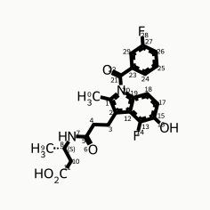 Cc1c(CCC(=O)N[C@@H](C)CC(=O)O)c2c(F)c(O)ccc2n1C(=O)c1cccc(F)c1